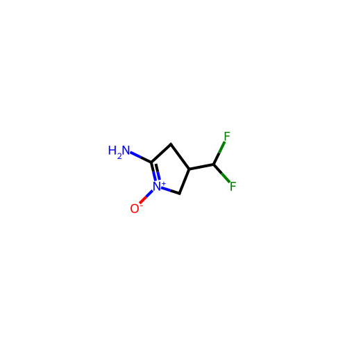 NC1=[N+]([O-])CC(C(F)F)C1